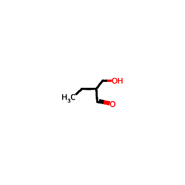 CCC(C=O)CO